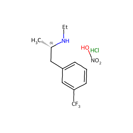 CCN[C@@H](C)Cc1cccc(C(F)(F)F)c1.Cl.O=[N+]([O-])O